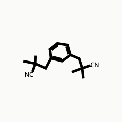 CC(C)(C#N)Cc1cccc(CC(C)(C)C#N)c1